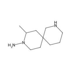 CC1CC2(CCCNC2)CCN1N